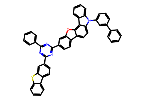 c1ccc(-c2cccc(-n3c4ccccc4c4c5oc6cc(-c7nc(-c8ccccc8)nc(-c8ccc9c(c8)sc8ccccc89)n7)ccc6c5ccc43)c2)cc1